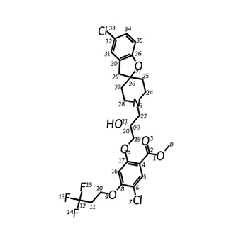 COC(=O)c1cc(Cl)c(OCCC(F)(F)F)cc1OC[C@H](O)CN1CCC2(CC1)Cc1cc(Cl)ccc1O2